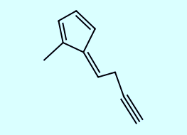 C#CCC=C1C=CC=C1C